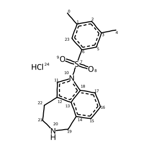 Cc1cc(C)cc(S(=O)(=O)n2cc3c4c(cccc42)CNCC3)c1.Cl